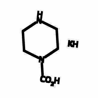 O=C(O)N1CCNCC1.[KH]